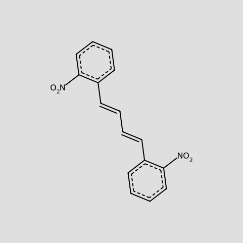 O=[N+]([O-])c1ccccc1C=CC=Cc1ccccc1[N+](=O)[O-]